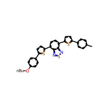 CCCCOc1ccc(-c2ccc(-c3ccc(-c4ccc(-c5ccc(C)cc5)s4)c4nsnc34)s2)cc1